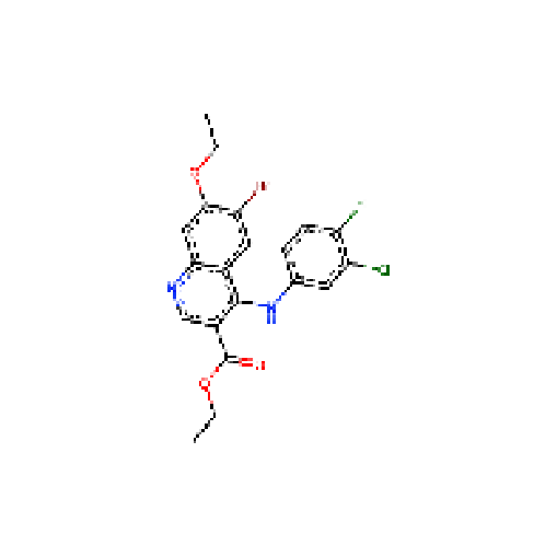 CCOC(=O)c1cnc2cc(OCC)c(Br)cc2c1Nc1ccc(Cl)c(Cl)c1